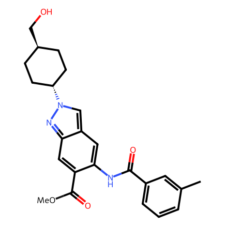 COC(=O)c1cc2nn([C@H]3CC[C@H](CO)CC3)cc2cc1NC(=O)c1cccc(C)c1